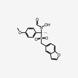 COc1ccc([C@@](C)(N(O)C=O)S(=O)(=O)Cc2ccc3occc3c2)cc1